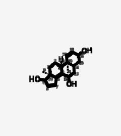 C[C@]12CC[C@@H]3C(=C1C=CC2O)C(O)CC1CC(O)C=C[C@@]13C